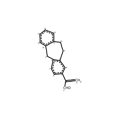 C=C(C=O)c1ccc2c(c1)CCc1ccccc1C2